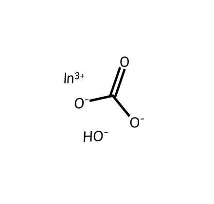 O=C([O-])[O-].[In+3].[OH-]